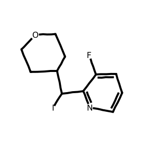 Fc1cccnc1C(I)C1CCOCC1